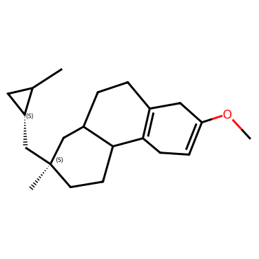 COC1=CCC2=C(CCC3C[C@](C)(C[C@@H]4CC4C)CCC23)C1